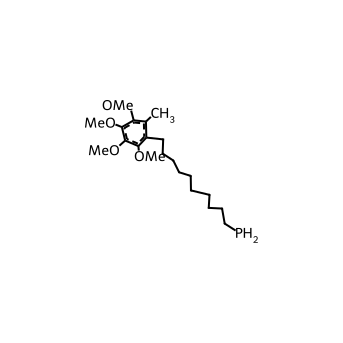 COc1c(C)c(CCCCCCCCCCP)c(OC)c(OC)c1OC